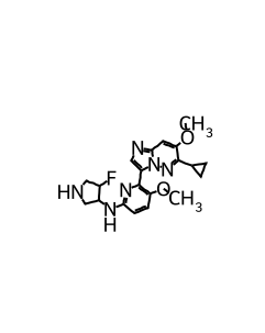 COc1ccc(NC2CNCC2F)nc1-c1cnc2cc(OC)c(C3CC3)nn12